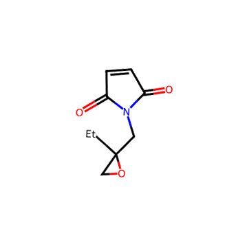 CCC1(CN2C(=O)C=CC2=O)CO1